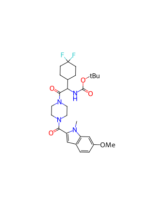 COc1ccc2cc(C(=O)N3CCN(C(=O)C(NC(=O)OC(C)(C)C)C4CCC(F)(F)CC4)CC3)n(C)c2c1